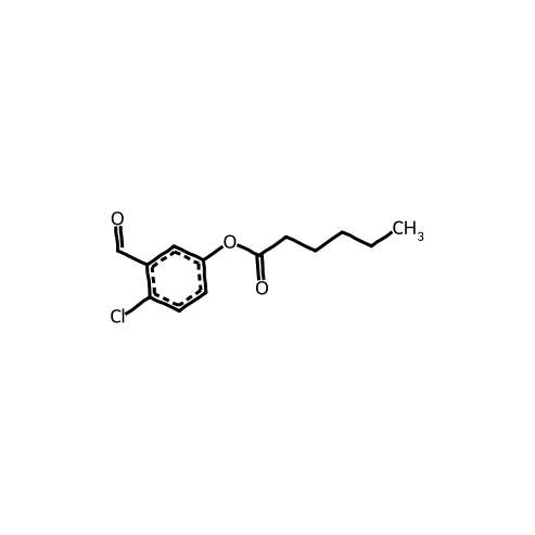 CCCCCC(=O)Oc1ccc(Cl)c(C=O)c1